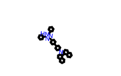 N=C(/N=C(\N=C\c1ccccc1)c1ccc(-c2ccc(-n3c4ccc5ccccc5c4c4c5ccccc5ccc43)cc2)cc1)c1ccccc1